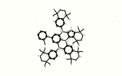 Cc1ccccc1-c1cc2c3c(c1)N(c1ccc4c(c1)C(C)(C)CCC4(C)C)c1sc4c(c1B3c1cc3c(cc1N2c1ccc2c(c1)C(C)(C)CCC2(C)C)C(C)(C)CCC3(C)C)C(C)(C)CCC4(C)C